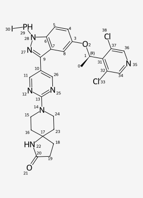 C[C@@H](Oc1ccc2c(c1)c(-c1cnc(N3CCC4(CCC(=O)N4)CC3)nc1)nn2PI)c1c(Cl)cncc1Cl